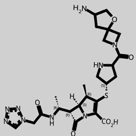 C[C@@H](NC(=O)Cn1cnnn1)[C@H]1C(=O)N2C(C(=O)O)=C(S[C@@H]3CNC(C(=O)N4CC5(CC(N)CO5)C4)C3)[C@H](C)[C@H]12